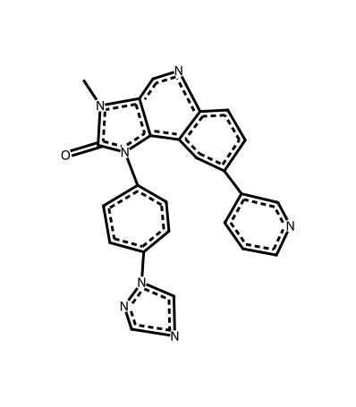 Cn1c(=O)n(-c2ccc(-n3cncn3)cc2)c2c3cc(-c4cccnc4)ccc3ncc21